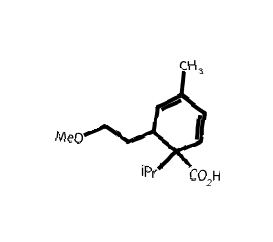 COCCC1C=C(C)C=CC1(C(=O)O)C(C)C